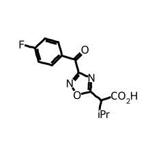 CC(C)C(C(=O)O)c1nc(C(=O)c2ccc(F)cc2)no1